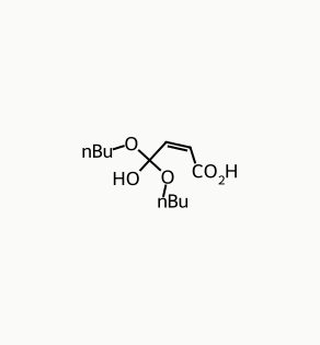 CCCCOC(O)(/C=C\C(=O)O)OCCCC